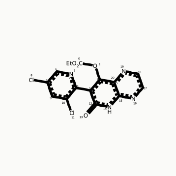 CCOC(=O)Oc1c(-c2ncc(Cl)cc2Cl)c(=O)[nH]c2nccnc12